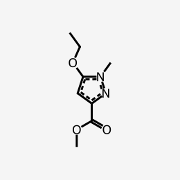 CCOc1cc(C(=O)OC)nn1C